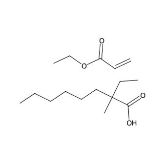 C=CC(=O)OCC.CCCCCCC(C)(CC)C(=O)O